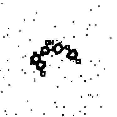 O[C@H]1CN(c2ncnc3cc(Cl)ccc23)C[C@@H]1N1CCC(Oc2ccc(Cl)cc2)CC1